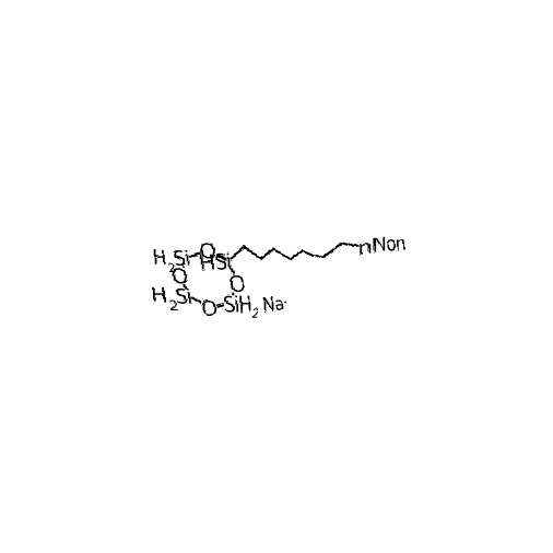 CCCCCCCCCCCCCCCC[SiH]1O[SiH2]O[SiH2]O[SiH2]O1.[Na]